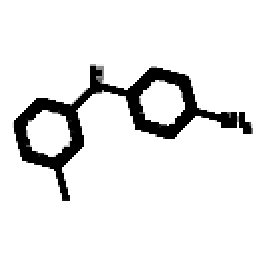 Cc1cccc(Nc2ccc(N)cc2)c1